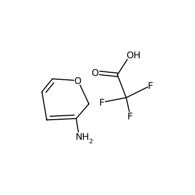 NC1=CC=COC1.O=C(O)C(F)(F)F